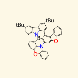 CC(C)(C)c1ccc2c(c1)c1cc(C(C)(C)C)cc3c1n2B1c2cccc4c2N(c2ccccc2O4)c2cc4oc5ccccc5c4c-3c21